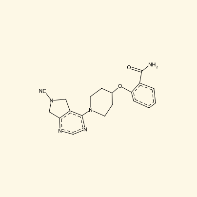 N#CN1Cc2ncnc(N3CCC(Oc4ccccc4C(N)=O)CC3)c2C1